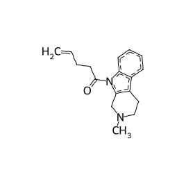 C=CCCC(=O)n1c2c(c3ccccc31)CCN(C)C2